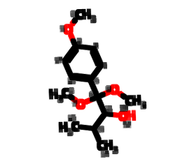 COc1ccc(C(OC)(OC)C(O)C(C)C)cc1